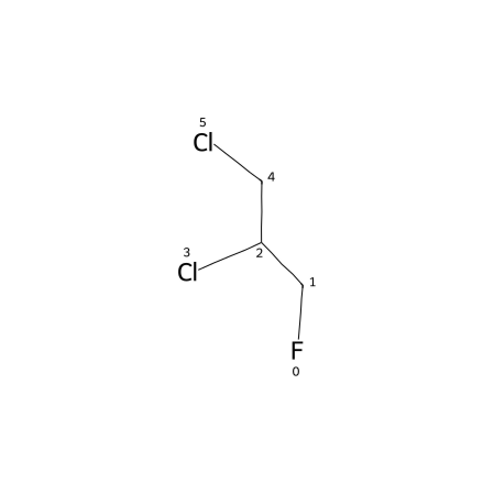 FCC(Cl)CCl